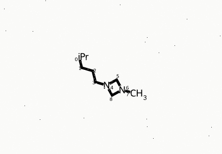 CC(C)CCCN1CN(C)C1